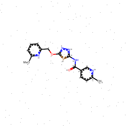 COc1cccc(COc2nnc(NC(=O)c3ccc(C)nc3)s2)n1